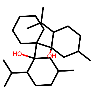 CC1CCC(C(C)C)C(O)(C2(C3(O)CC(C)CCC3C(C)C)CCCCC2)C1